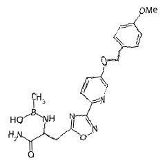 COc1ccc(COc2ccc(-c3noc(CC(NB(C)O)C(N)=O)n3)nc2)cc1